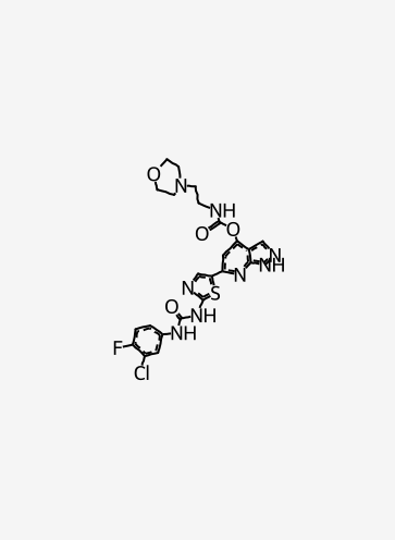 O=C(Nc1ccc(F)c(Cl)c1)Nc1ncc(-c2cc(OC(=O)NCCN3CCOCC3)c3cn[nH]c3n2)s1